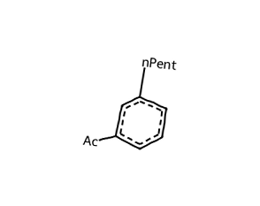 CCCCCc1cccc(C(C)=O)c1